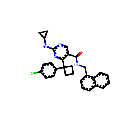 O=C(NCc1cccc2ccccc12)c1cnc(NC2CC2)nc1C1(c2ccc(Cl)cc2)CCC1